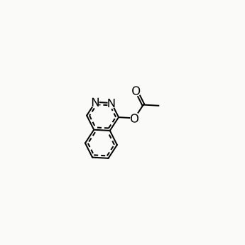 CC(=O)Oc1nncc2ccccc12